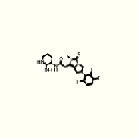 Cn1c(CC(=O)N[C@@H]2CCCNC2O)c2n(c1=S)C[C@@H](c1c(F)ccc(F)c1F)C2